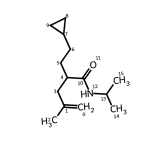 C=C(C)CC(CCC1CC1)C(=O)NC(C)C